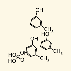 Cc1cccc(O)c1.Cc1cccc(O)c1.Cc1cccc(O)c1.O=P(O)(O)O